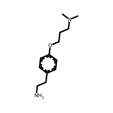 CN(C)CCCOc1ccc(CCN)cc1